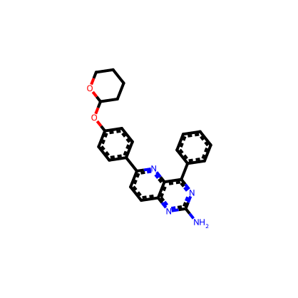 Nc1nc(-c2ccccc2)c2nc(-c3ccc(OC4CCCCO4)cc3)ccc2n1